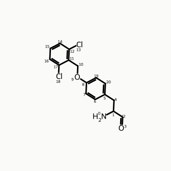 NC([C]=O)Cc1ccc(OCc2c(Cl)cccc2Cl)cc1